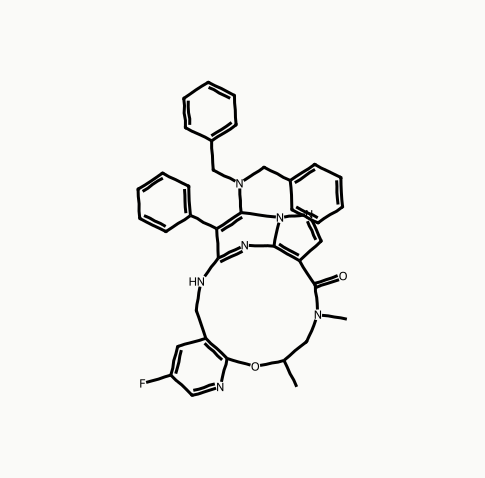 CC1CN(C)C(=O)c2cnn3c(N(Cc4ccccc4)Cc4ccccc4)c(-c4ccccc4)c(nc23)NCc2cc(F)cnc2O1